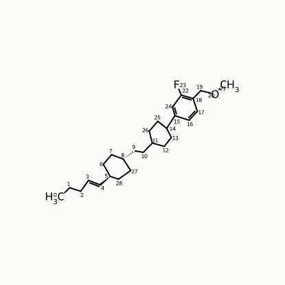 CCC/C=C/[C@H]1CC[C@H](CCC2CCC(c3ccc(COC)c(F)c3)CC2)CC1